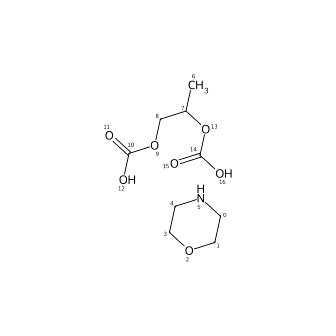 C1COCCN1.CC(COC(=O)O)OC(=O)O